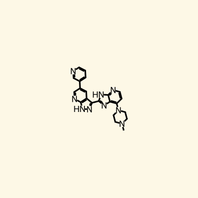 CN1CCN(c2ccnc3[nH]c(-c4n[nH]c5ncc(-c6cccnc6)cc45)nc23)CC1